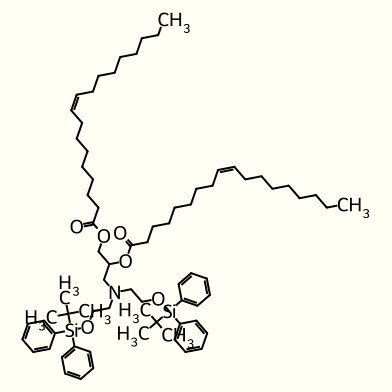 CCCCCCCC/C=C\CCCCCCCC(=O)OCC(CN(CCO[Si](c1ccccc1)(c1ccccc1)C(C)(C)C)CCO[Si](c1ccccc1)(c1ccccc1)C(C)(C)C)OC(=O)CCCCCCC/C=C\CCCCCCCC